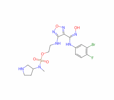 CN(C1CCNC1)S(=O)(=O)OCCNc1nonc1C(=NO)Nc1ccc(F)c(Br)c1